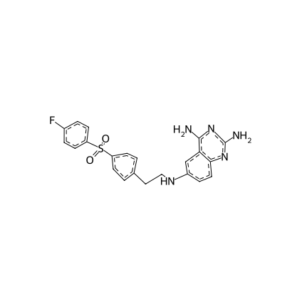 Nc1nc(N)c2cc(NCCc3ccc(S(=O)(=O)c4ccc(F)cc4)cc3)ccc2n1